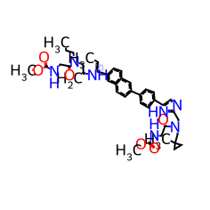 C=C(CN(CCC)C(=O)CNC(=O)OC)N/C(=C\C)c1ccc2cc(-c3ccc(-c4cnc(CN(CC5(C)CC5)C(=O)CNC(=O)OC)[nH]4)cc3)ccc2c1